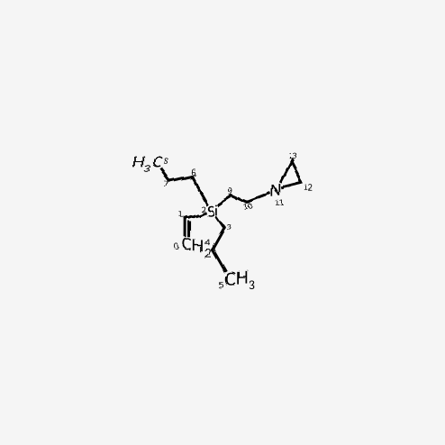 C=C[Si](CCC)(CCC)CCN1CC1